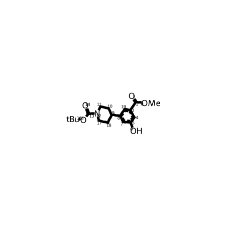 COC(=O)c1cc(O)cc(C2CCN(C(=O)OC(C)(C)C)CC2)c1